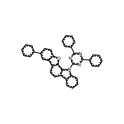 c1ccc(-c2ccc3oc4c(ccc5c6ccccc6n(-c6nc(-c7ccccc7)nc(-c7ccccc7)n6)c54)c3c2)cc1